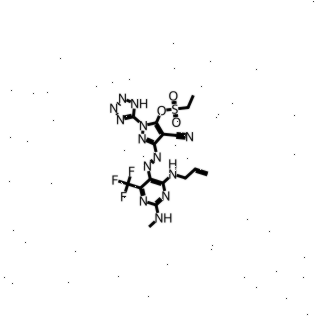 C=CCNc1nc(NC)nc(C(F)(F)F)c1N=Nc1nn(-c2nnn[nH]2)c(OS(=O)(=O)CC)c1C#N